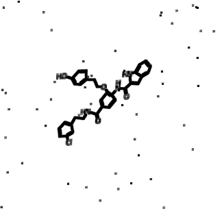 O=C(NCCc1cccc(Cl)c1)c1ccc(NC(=O)c2cc3ccccc3[nH]2)c(OCCc2ccc(O)cc2)c1